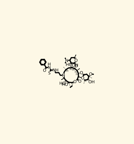 CC[C@H]1OC(=O)[C@H](C)[C@@H](O[C@H]2C[C@@](C)(OC)[C@@H](O)[C@H](C)O2)[C@H](C)[C@@H](O[C@@H]2O[C@H](C)C[C@H](N(C)C)[C@H]2O)[C@](C)(O)C[C@@H](C)CN(CCCNC(=S)NC(=O)c2ccccc2)[C@H](C)[C@@H](O)[C@]1(C)O